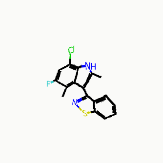 Cc1[nH]c2c(Cl)cc(F)c(C)c2c1-c1nsc2ccccc12